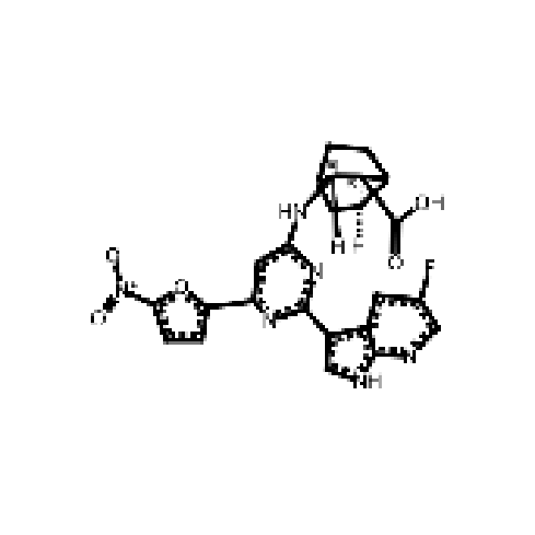 O=C(O)[C@@H]1C2CCC(CC2)[C@H]1Nc1cc(-c2ccc([N+](=O)[O-])o2)nc(-c2c[nH]c3ncc(F)cc23)n1